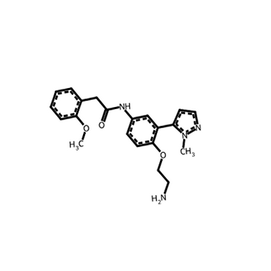 COc1ccccc1CC(=O)Nc1ccc(OCCN)c(-c2ccnn2C)c1